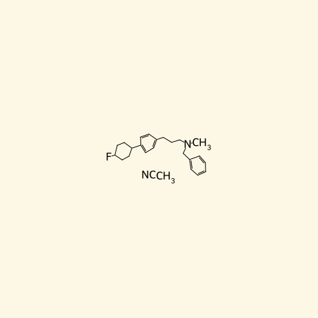 CC#N.CN(CCCc1ccc(C2CCC(F)CC2)cc1)Cc1ccccc1